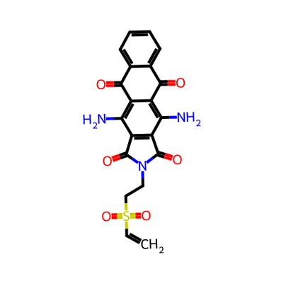 C=CS(=O)(=O)CCn1c(=O)c2c(N)c3c(=O)c4ccccc4c(=O)c3c(N)c2c1=O